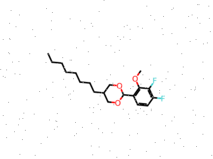 CCCCCCCCC1COC(c2ccc(F)c(F)c2OC)OC1